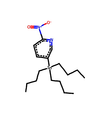 CCC[CH2][Sn]([CH2]CCC)([CH2]CCC)[c]1ccc([N+](=O)[O-])nc1